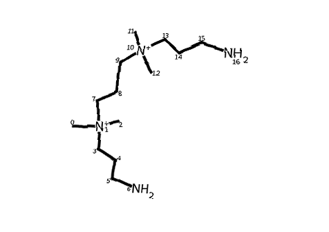 C[N+](C)(CCCN)CCC[N+](C)(C)CCCN